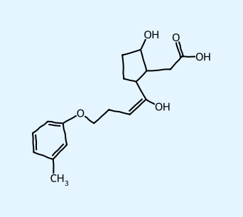 Cc1cccc(OCC/C=C(/O)C2CCC(O)C2CC(=O)O)c1